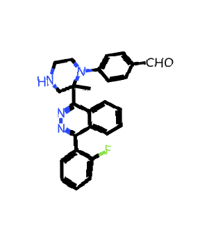 CC1(c2nnc(-c3ccccc3F)c3ccccc23)CNCCN1c1ccc(C=O)cc1